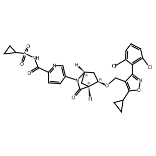 O=C(NS(=O)(=O)C1CC1)c1ccc(N2C(=O)[C@@H]3C[C@H]2C[C@H]3OCc2c(-c3c(Cl)cccc3Cl)noc2C2CC2)cn1